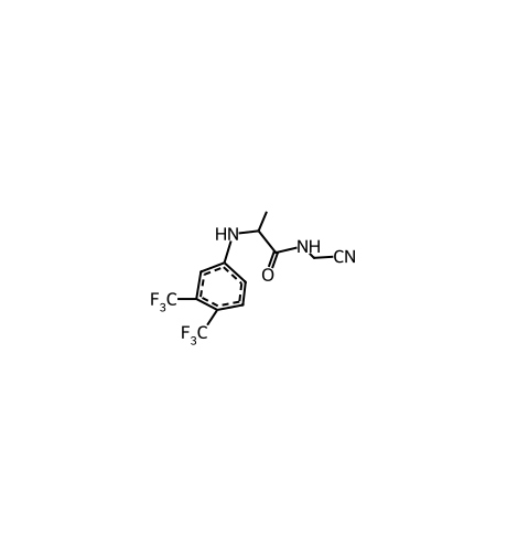 CC(Nc1ccc(C(F)(F)F)c(C(F)(F)F)c1)C(=O)NCC#N